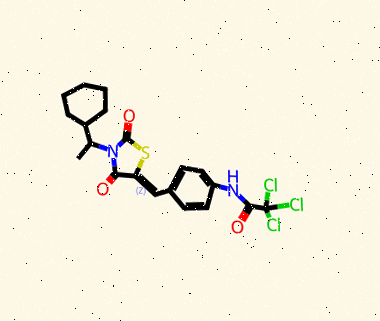 CC(C1CCCCC1)N1C(=O)S/C(=C\c2ccc(NC(=O)C(Cl)(Cl)Cl)cc2)C1=O